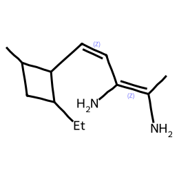 CCC1CC(C)C1/C=C\C(N)=C(/C)N